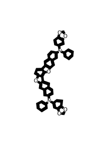 c1ccc(N(c2ccc3c(c2)OCO3)c2ccc3cc4c(cc3c2)oc2c4ccc3oc4cc5cc(N(c6ccccc6)c6ccc7c(c6)OCO7)ccc5cc4c32)cc1